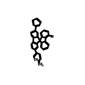 C=C/C=C\C(=C/C)c1ccc2c(c1)C1(c3cc(-c4ccccc4)ccc3-2)c2ccccc2-c2c(Br)cccc21